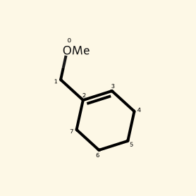 COCC1=CCCCC1